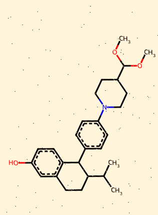 COC(OC)C1CCN(c2ccc(C3c4ccc(O)cc4CCC3C(C)C)cc2)CC1